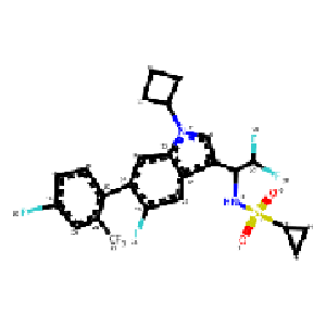 O=S(=O)(NC(c1cn(C2CCC2)c2cc(-c3ccc(F)cc3C(F)(F)F)c(F)cc12)C(F)F)C1CC1